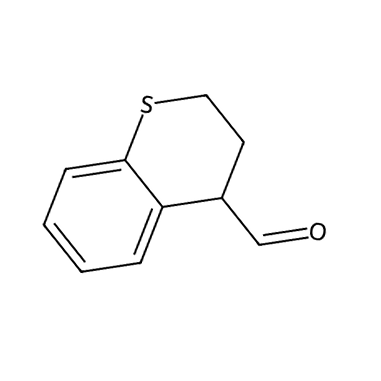 O=CC1CCSc2ccccc21